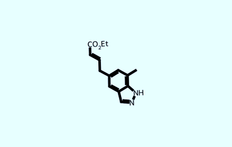 CCOC(=O)C=CCc1cc(C)c2[nH]ncc2c1